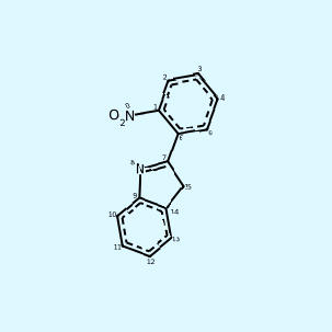 O=[N+]([O-])c1ccccc1C1=Nc2ccccc2C1